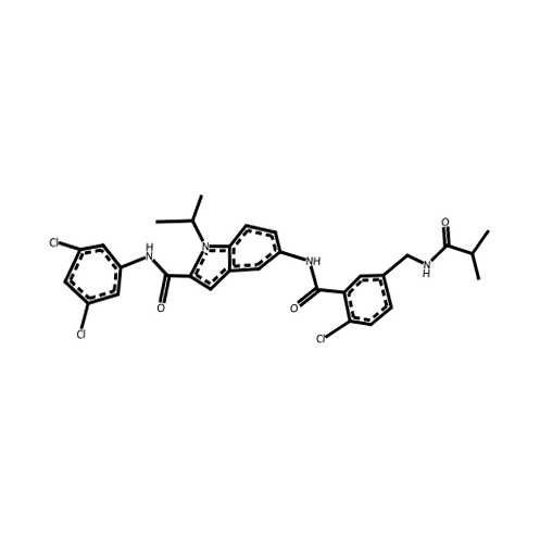 CC(C)C(=O)NCc1ccc(Cl)c(C(=O)Nc2ccc3c(c2)cc(C(=O)Nc2cc(Cl)cc(Cl)c2)n3C(C)C)c1